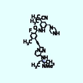 C=C/C(Nc1cccn2c(C#Cc3cc(C(=O)Nc4cc(CN5CCNCC5)cc(C(C)(C)C#N)c4)c(F)cc3C)cnc12)=C(/C)NC